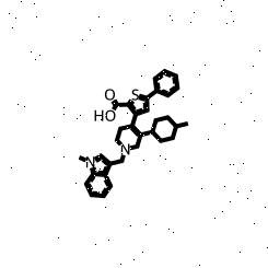 CC1CCC(C2=C(c3cc(-c4ccccc4)sc3C(=O)O)CCN(Cc3cn(C)c4ccccc34)C2)CC1